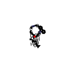 C=C[C@@H]1C[C@]1(NC(=O)[C@@H]1C[C@@H]2C[C@H]1C(=O)N(C)CCCC/C=C/COc1ccc3c(c1)/C(=N\O2)c1ccccc1-3)C(=O)NS(=O)(=O)C1CC1